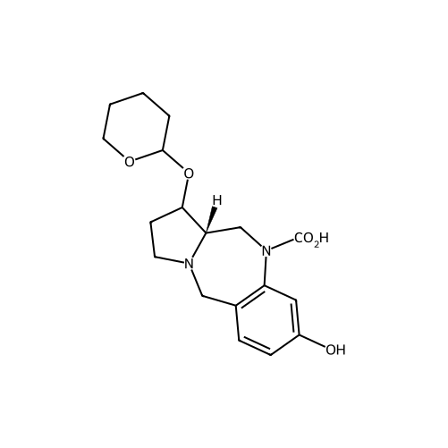 O=C(O)N1C[C@H]2C(OC3CCCCO3)CCN2Cc2ccc(O)cc21